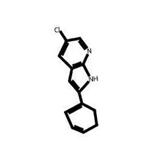 Clc1cnc2[nH]c(C3=CC=CCC3)cc2c1